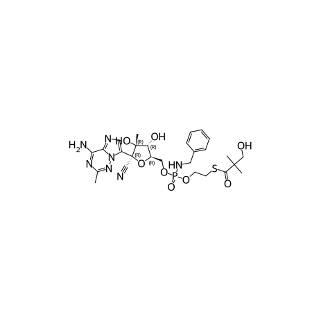 Cc1nc(N)c2ncc([C@]3(C#N)O[C@H](COP(=O)(NCc4ccccc4)OCCSC(=O)C(C)(C)CO)[C@@H](O)[C@@]3(C)O)n2n1